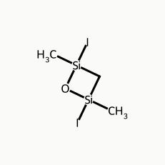 C[Si]1(I)C[Si](C)(I)O1